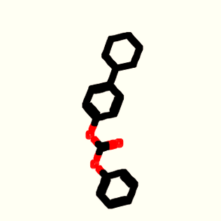 O=C(Oc1ccccc1)Oc1ccc(C2CCCCC2)cc1